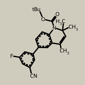 CC1=CC(C)(C)N(C(=O)OC(C)(C)C)c2ccc(-c3cc(F)cc(C#N)c3)cc21